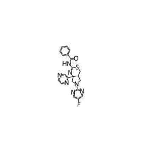 O=C(NC1=NC2(c3cnccn3)CN(c3ncc(F)cn3)CC2CS1)c1ccccc1